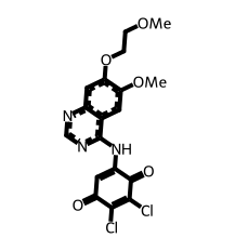 COCCOc1cc2ncnc(NC3=CC(=O)C(Cl)=C(Cl)C3=O)c2cc1OC